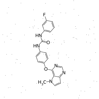 Cn1ccc2ncnc(Oc3ccc(NC(=O)Nc4cccc(F)c4)cc3)c21